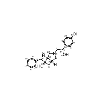 Oc1ccc([C@H](O)CN2C[C@H]3C[C@](O)(Cc4ccccc4)[C@H]3C2)cc1